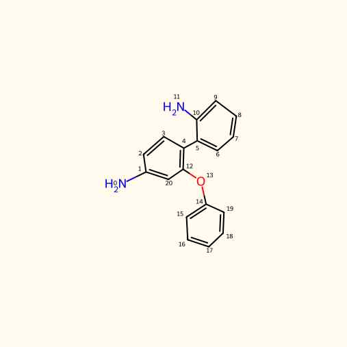 Nc1ccc(-c2ccccc2N)c(Oc2ccccc2)c1